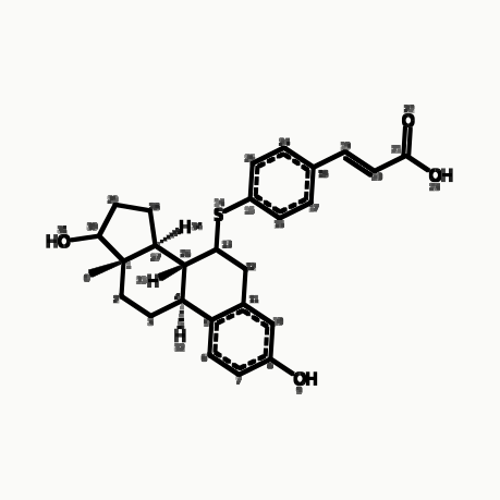 C[C@]12CC[C@@H]3c4ccc(O)cc4CC(Sc4ccc(C=CC(=O)O)cc4)[C@H]3[C@@H]1CCC2O